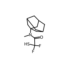 CN(C(=O)C(F)(F)S)C12CC3CC(CC(C3)C1)C2